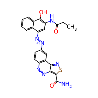 CCC(=O)Nc1cc(/N=N/c2ccc3nnc4c(C(N)=O)snc4c3c2)c2ccccc2c1O